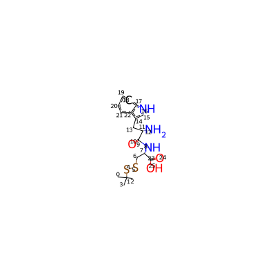 CC(C)(C)SSCC(NC(=O)[C@@H](N)Cc1c[nH]c2ccccc12)C(=O)O